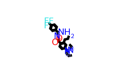 C/C=C\N(/N=C\C)c1ccc(C(=O)O/N=C(\N)c2ccc(C(F)(F)F)cc2)c(CCC)c1